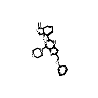 CC12C=NNC1C=CC=C2c1nc(N2CCOCC2)c2sc(COc3ccccc3)cc2n1